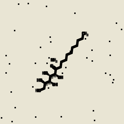 CCCCCCCCCCC(=O)[C@H](O)[C@@H](O)[C@H](O)[C@H](O)CO.N